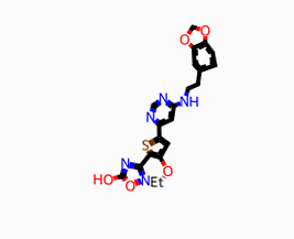 CCOc1cc(-c2cc(NCCc3ccc4c(c3)OCO4)ncn2)sc1-c1noc(O)n1